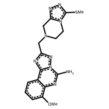 COc1cccc2c1nc(N)n1nc(CN3CCn4c(nnc4SC)C3)nc21